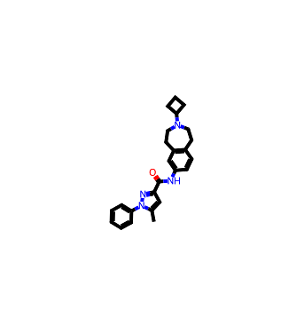 Cc1cc(C(=O)Nc2ccc3c(c2)CCN(C2CCC2)CC3)nn1-c1ccccc1